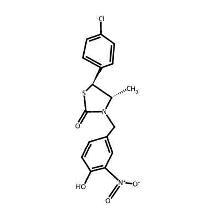 C[C@H]1[C@H](c2ccc(Cl)cc2)SC(=O)N1Cc1ccc(O)c([N+](=O)[O-])c1